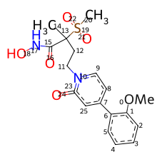 COc1ccccc1-c1ccn(CCC(C)(C(=O)NO)S(C)(=O)=O)c(=O)c1